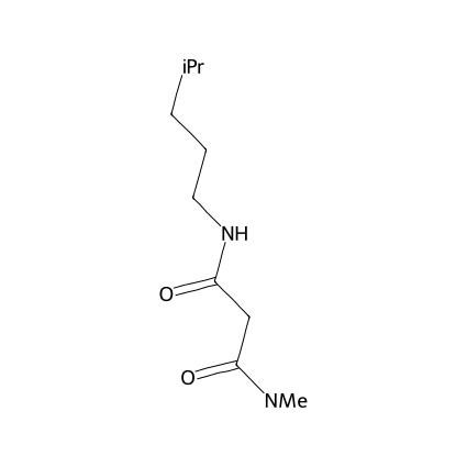 CNC(=O)CC(=O)NCCCC(C)C